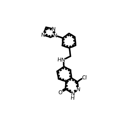 O=c1[nH]nc(Cl)c2cc(NCc3cccc(-n4cncn4)c3)ccc12